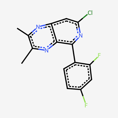 Cc1nc2cc(Cl)nc(-c3ccc(F)cc3F)c2nc1C